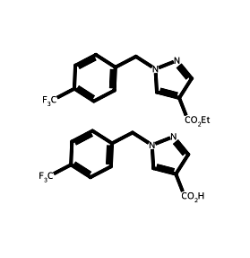 CCOC(=O)c1cnn(Cc2ccc(C(F)(F)F)cc2)c1.O=C(O)c1cnn(Cc2ccc(C(F)(F)F)cc2)c1